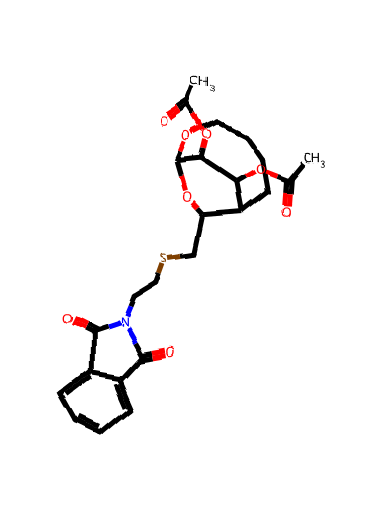 CC(=O)OC1C2OCCCCC(C(CSCCN3C(=O)c4ccccc4C3=O)O2)C1OC(C)=O